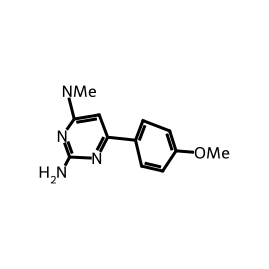 CNc1cc(-c2ccc(OC)cc2)nc(N)n1